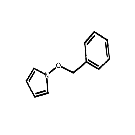 c1ccc(COn2cccc2)cc1